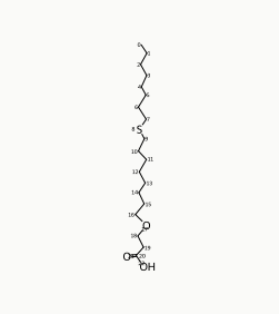 CCCCCCCCSCCCCCCCCOCCC(=O)O